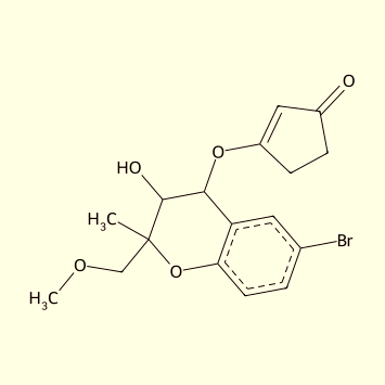 COCC1(C)Oc2ccc(Br)cc2C(OC2=CC(=O)CC2)C1O